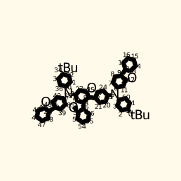 CC(C)(C)c1ccc(N(c2ccc3c(c2)oc2ccccc23)c2ccc3c(c2)oc2cc(N(c4ccc(C(C)(C)C)cc4)c4ccc5c(c4)oc4ccccc45)c4oc5ccccc5c4c23)cc1